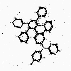 Cc1ccc(N(c2ccc3c(c2)c2ccccc2c2c(-c4ccccc4)cc(C4=CCCC=C4)c(-c4ccccc4)c32)c2cnccn2)cc1